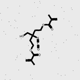 C=C(C)C(=O)OCCC(CO)(CCOC(=O)C(=C)C)N=C=O